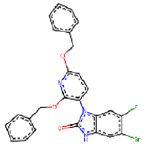 O=c1[nH]c2cc(Br)c(F)cc2n1-c1ccc(OCc2ccccc2)nc1OCc1ccccc1